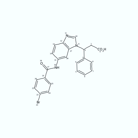 O=C(O)CC(c1ccccc1)n1cnc2ccc(NC(=O)c3ccc(Br)cc3)cc21